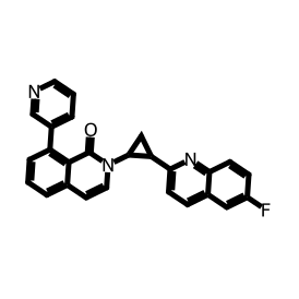 O=c1c2c(-c3cccnc3)cccc2ccn1C1CC1c1ccc2cc(F)ccc2n1